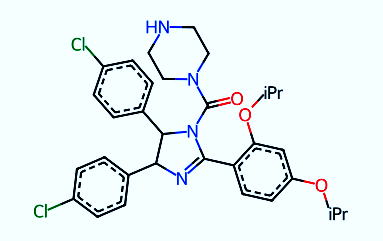 CC(C)Oc1ccc(C2=NC(c3ccc(Cl)cc3)C(c3ccc(Cl)cc3)N2C(=O)N2CCNCC2)c(OC(C)C)c1